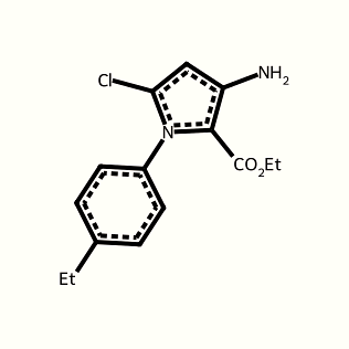 CCOC(=O)c1c(N)cc(Cl)n1-c1ccc(CC)cc1